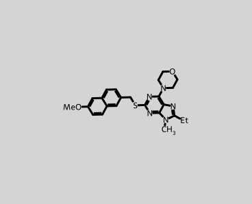 CCc1nc2c(N3CCOCC3)nc(SCc3ccc4cc(OC)ccc4c3)nc2n1C